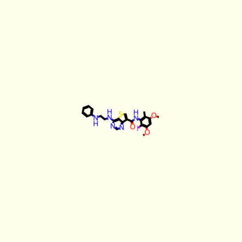 COc1cc(OC)c(I)c(NC(=O)c2csc3c(NCCNc4ccccc4)ncnc23)c1C